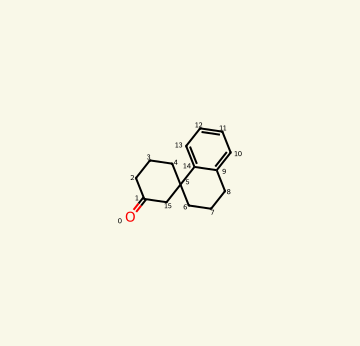 O=C1CCCC2(CCCc3ccccc32)C1